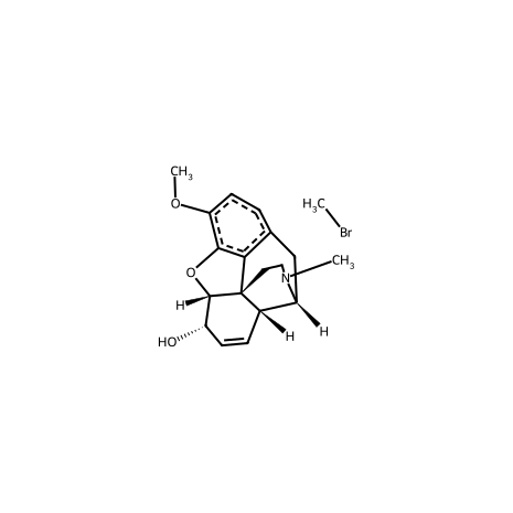 CBr.COc1ccc2c3c1O[C@H]1[C@@H](O)C=C[C@H]4[C@@H](C2)N(C)CC[C@@]341